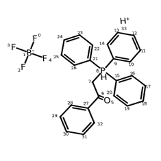 F[B-](F)(F)F.O=C(C[PH](c1ccccc1)(c1ccccc1)c1ccccc1)c1ccccc1.[H+]